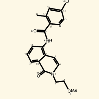 COCCn1ccc2c(NC(=O)c3ccc(Cl)cc3C)cccc2c1=O